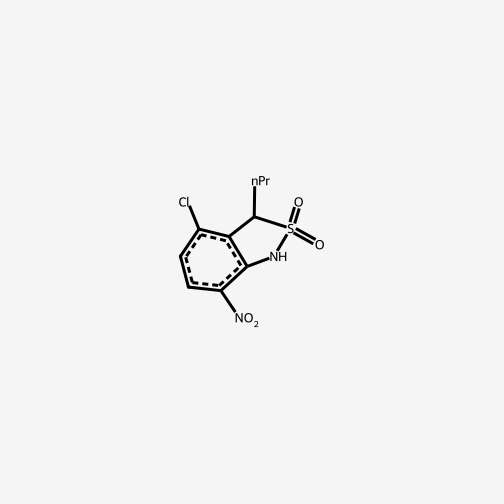 CCCC1c2c(Cl)ccc([N+](=O)[O-])c2NS1(=O)=O